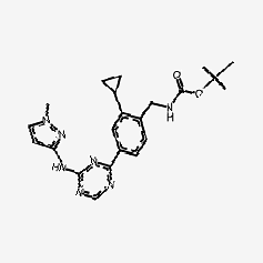 Cn1ccc(Nc2ncnc(-c3ccc(CNC(=O)OC(C)(C)C)c(C4CC4)c3)n2)n1